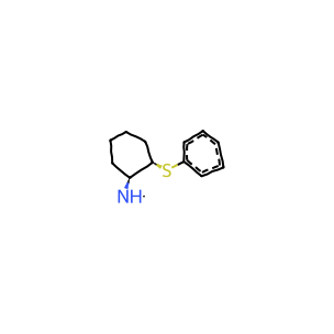 [NH][C@H]1CCCC[C@H]1Sc1ccccc1